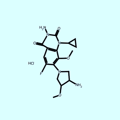 COc1c(N2CC(N)C(OC)C2)c(F)cc2c(=O)n(N)c(=O)n(C3CC3)c12.Cl